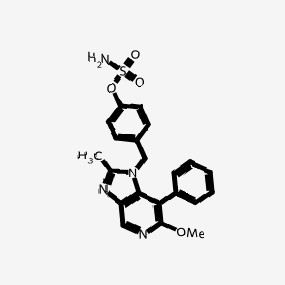 COc1ncc2nc(C)n(Cc3ccc(OS(N)(=O)=O)cc3)c2c1-c1ccccc1